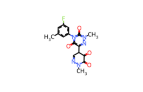 Cc1cc(F)cc(-n2c(=O)c(C3C=NN(C)C(=O)C3=O)nn(C)c2=O)c1